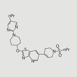 CCCc1cnc(N2CCC(Oc3nc4ncc(C5=CCN(S(=O)(=O)CCC)CC5)cc4s3)CC2)nc1